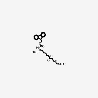 CC(=O)NCSCCC(=O)NCCCC[C@@H](NC(=O)OCC1c2ccccc2-c2ccccc21)C(=O)O